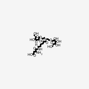 N[C@@H](CC(=O)O)C(=O)NCCCCCC(=O)N(CCO[C@H]1O[C@H](CO)[C@@H](O)[C@H](O)[C@@H]1O)CCO[C@H]1O[C@H](CO)[C@@H](O)[C@H](O)[C@@H]1O